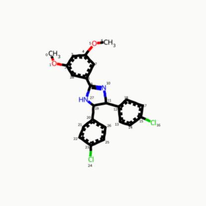 COc1cc(OC)cc(C2=NC(c3ccc(Cl)cc3)C(c3ccc(Cl)cc3)N2)c1